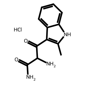 Cc1[nH]c2ccccc2c1C(=O)C(N)C(N)=O.Cl